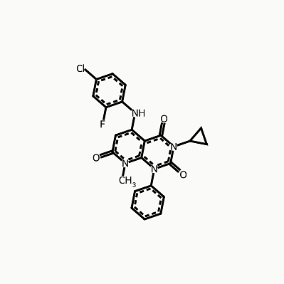 Cn1c(=O)cc(Nc2ccc(Cl)cc2F)c2c(=O)n(C3CC3)c(=O)n(-c3ccccc3)c21